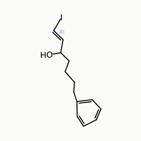 OC(/C=C/I)CCCCc1ccccc1